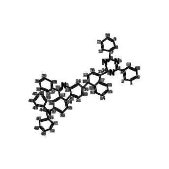 c1ccc(-c2nc(-c3ccccc3)nc(-c3ccc(-c4ccc5c(c4)nc(-c4ccccc4)c4c5ccc5c4c4ccccc4n5-c4ccccc4)c4ccccc34)n2)cc1